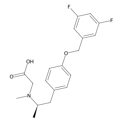 C[C@H](Cc1ccc(OCc2cc(F)cc(F)c2)cc1)N(C)CC(=O)O